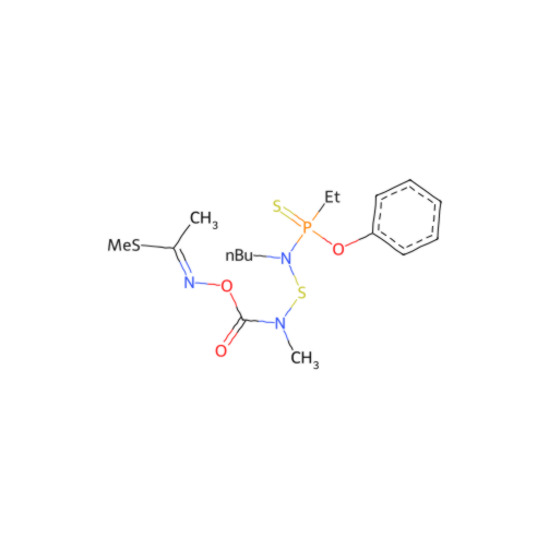 CCCCN(SN(C)C(=O)ON=C(C)SC)P(=S)(CC)Oc1ccccc1